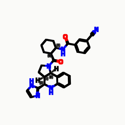 N#Cc1cccc(C(=O)N[C@@H]2CCCC[C@@H]2C(=O)N2CC[C@@H]3[C@H](c4ncc[nH]4)Nc4ccccc4[C@@H]32)c1